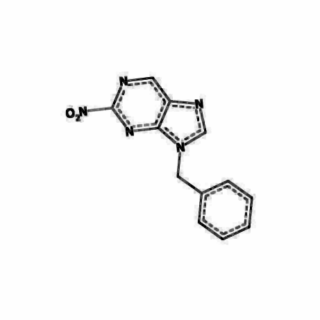 O=[N+]([O-])c1ncc2ncn(Cc3ccccc3)c2n1